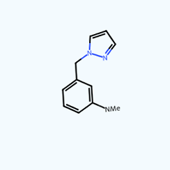 CNc1cccc(Cn2cccn2)c1